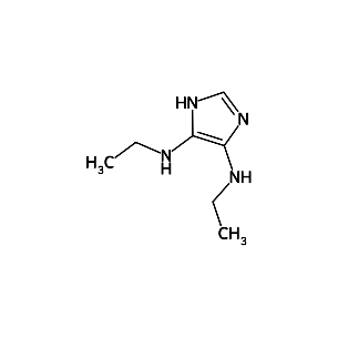 CCNc1nc[nH]c1NCC